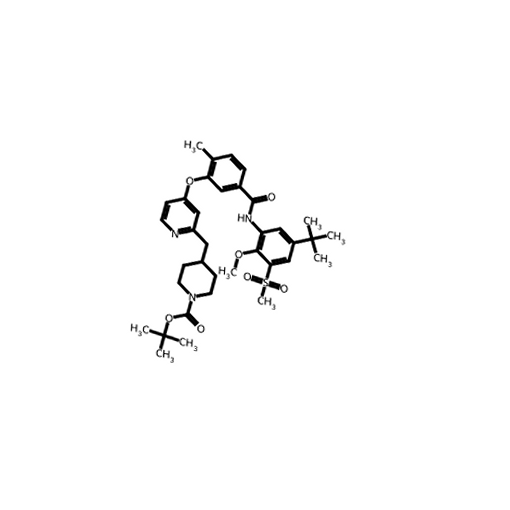 COc1c(NC(=O)c2ccc(C)c(Oc3ccnc(CC4CCN(C(=O)OC(C)(C)C)CC4)c3)c2)cc(C(C)(C)C)cc1S(C)(=O)=O